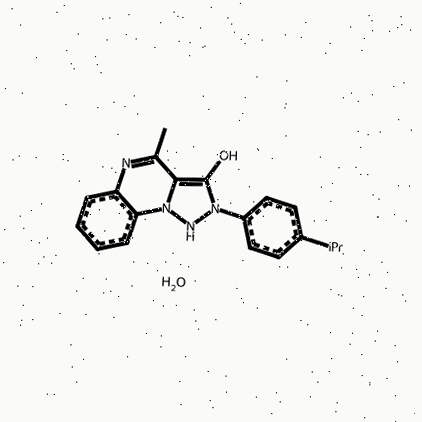 CC1=Nc2ccccc2N2NN(c3ccc(C(C)C)cc3)C(O)=C12.O